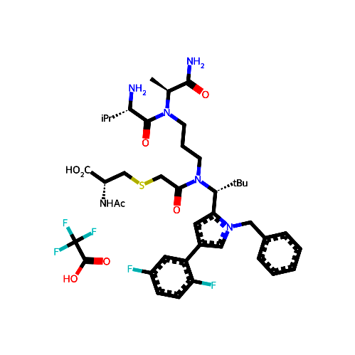 CC(=O)N[C@@H](CSCC(=O)N(CCCN(C(=O)[C@@H](N)C(C)C)[C@@H](C)C(N)=O)[C@@H](c1cc(-c2cc(F)ccc2F)cn1Cc1ccccc1)C(C)(C)C)C(=O)O.O=C(O)C(F)(F)F